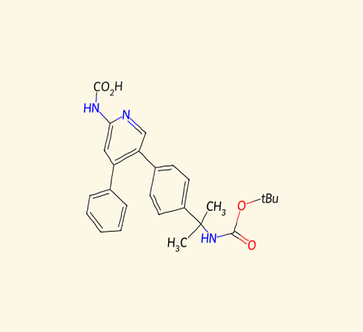 CC(C)(C)OC(=O)NC(C)(C)c1ccc(-c2cnc(NC(=O)O)cc2-c2ccccc2)cc1